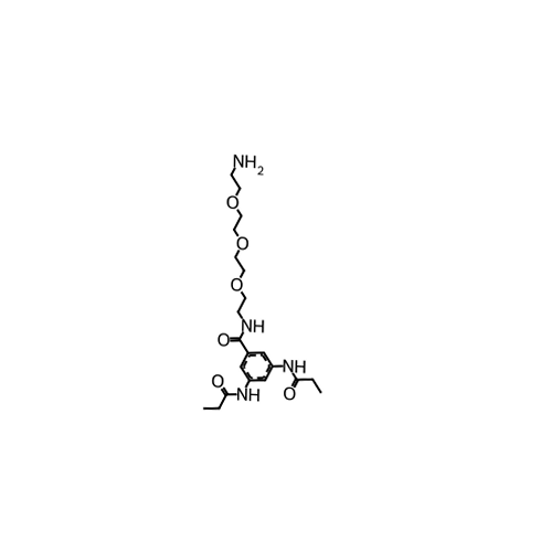 CCC(=O)Nc1cc(NC(=O)CC)cc(C(=O)NCCOCCOCCOCCN)c1